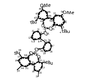 COc1cc(C(C)(C)C)c2op(Oc3ccccc3-c3ccccc3Op3oc4c(C(C)(C)C)cc(C)cc4c4cc(C)cc(C(C)(C)C)c4o3)oc3c(C(C)(C)C)cc(OC)cc3c2c1